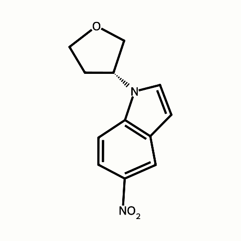 O=[N+]([O-])c1ccc2c(ccn2[C@@H]2CCOC2)c1